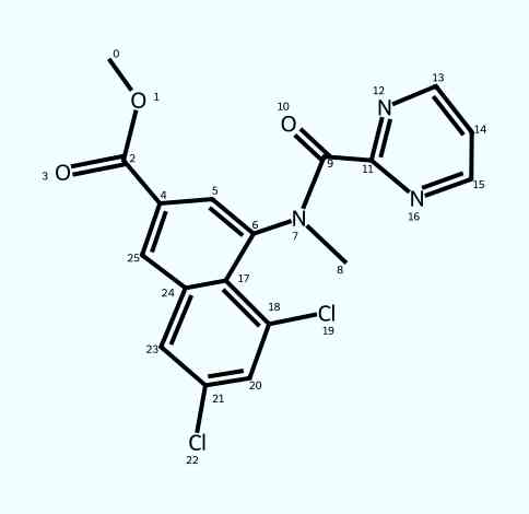 COC(=O)c1cc(N(C)C(=O)c2ncccn2)c2c(Cl)cc(Cl)cc2c1